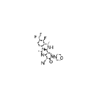 Cc1nc(NC(C)c2cccc(C(F)F)c2F)c2cn(N3CCOCC3)c(=O)c(C#N)c2n1